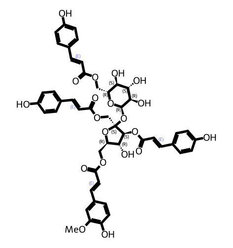 COc1cc(/C=C/C(=O)OC[C@H]2O[C@@](COC(=O)/C=C/c3ccc(O)cc3)(O[C@H]3O[C@H](COC(=O)/C=C/c4ccc(O)cc4)[C@@H](O)[C@H](O)[C@H]3O)[C@@H](OC(=O)/C=C/c3ccc(O)cc3)[C@@H]2O)ccc1O